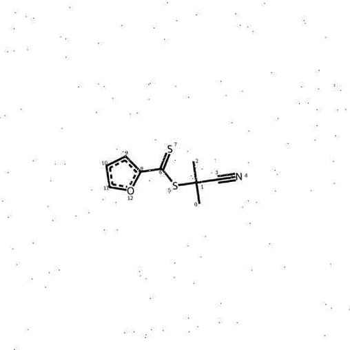 CC(C)(C#N)SC(=S)c1ccco1